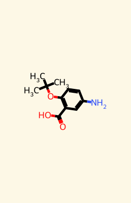 CC(C)(C)Oc1ccc(N)cc1C(=O)O